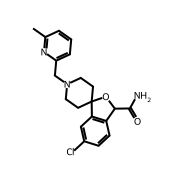 Cc1cccc(CN2CCC3(CC2)OC(C(N)=O)c2ccc(Cl)cc23)n1